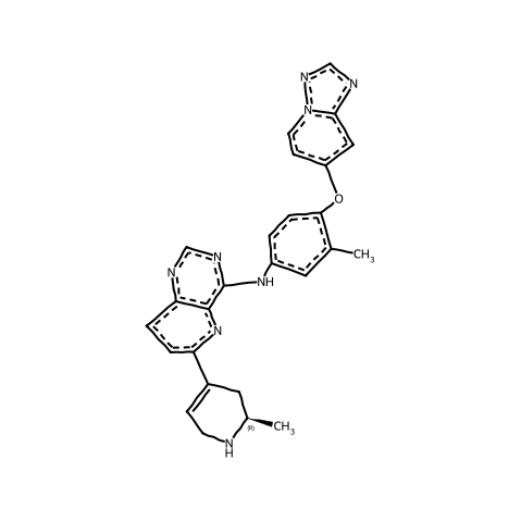 Cc1cc(Nc2ncnc3ccc(C4=CCN[C@H](C)C4)nc23)ccc1Oc1ccn2ncnc2c1